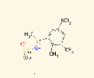 Cc1c([C@@H](C)N[S@+]([O-])C(C)(C)C)cc([N+](=O)[O-])cc1C(F)(F)F